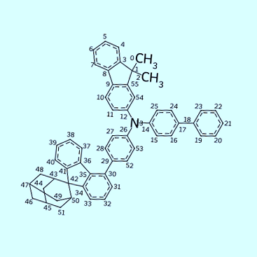 CC1(C)c2ccccc2-c2ccc(N(c3ccc(-c4ccccc4)cc3)c3ccc(-c4cccc5c4-c4ccccc4C54C5CC6CC(C5)CC4C6)cc3)cc21